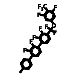 Cc1ccc(-c2ccc(-c3ccc(C(F)(F)Oc4cc(F)c(C(F)(F)F)c(F)c4)c(F)c3F)c(F)c2F)cc1